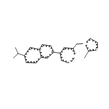 Cc1nccn1Cc1cc(-c2ccc3cc(C(F)F)ccc3c2)cnn1.Cl